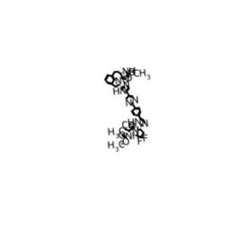 COC(=O)N[C@H]1CCc2cccc3c2N(C1=O)[C@H](c1ncc(-c2cnc(-c4ccc(-c5cnc([C@@H]6CC(F)(F)CN6C(=O)[C@@H](NC(=O)OC)C(C)C)[nH]5)cc4)nc2)[nH]1)C3